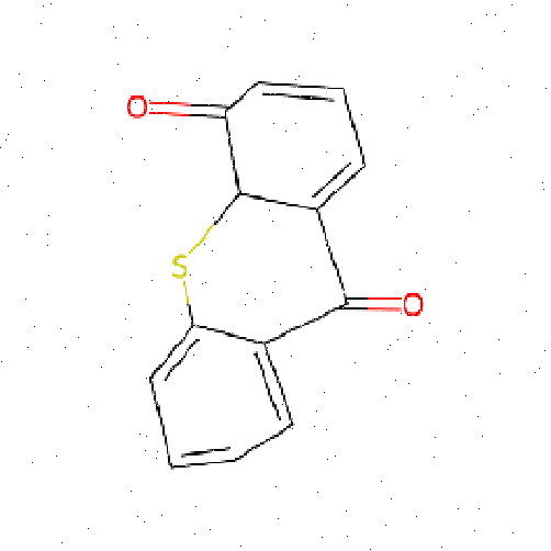 O=C1C2=CC=CC(=O)C2Sc2ccccc21